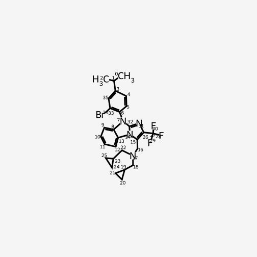 CC(C)c1ccc(-n2c3ccccc3n3c(CN(CC4CC4)CC4CC4)c(C(F)(F)F)nc23)c(Br)c1